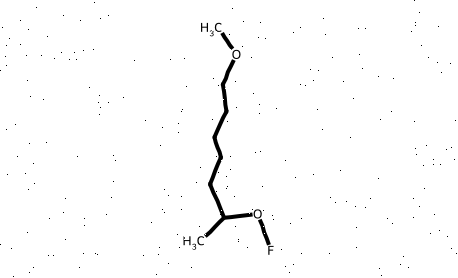 COCCCCCC(C)OF